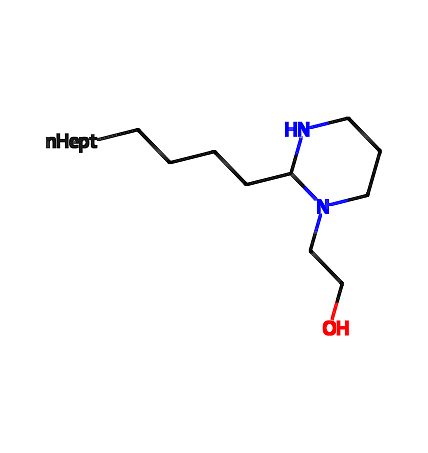 CCCCCCCCCCCC1NCCCN1CCO